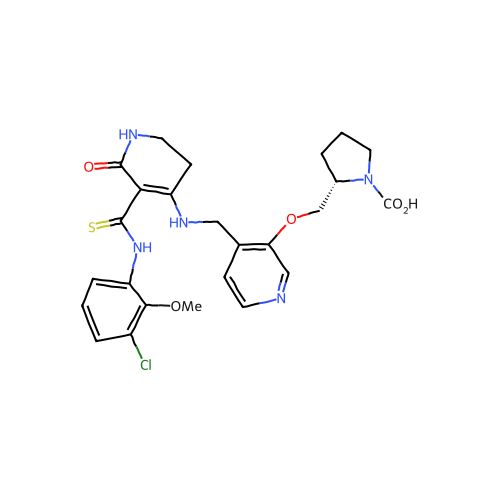 COc1c(Cl)cccc1NC(=S)C1=C(NCc2ccncc2OC[C@@H]2CCCN2C(=O)O)CCNC1=O